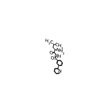 CC(C)CC(N)C(=O)N[S+]([O-])c1cccc(-c2ccccn2)c1